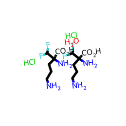 Cl.Cl.NCCCC(N)(C(=O)O)C(F)F.NCCCC(N)(C(=O)O)C(F)F.O